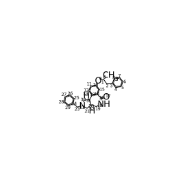 C[C@H](Cc1ccccc1)Oc1ccc2c(c1)C(=O)NC[C@H]1CN(Cc3ccccc3)C[C@H]21